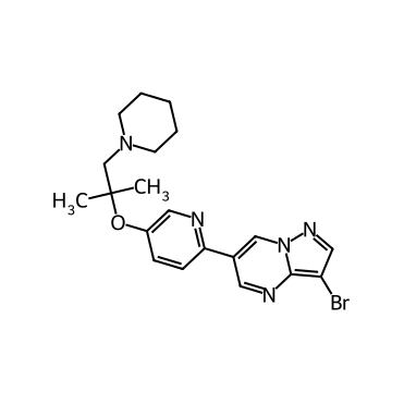 CC(C)(CN1CCCCC1)Oc1ccc(-c2cnc3c(Br)cnn3c2)nc1